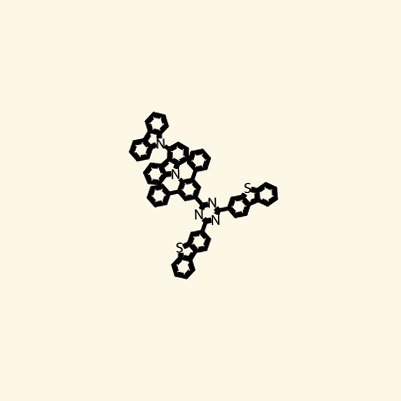 c1ccc(-c2cc(-c3nc(-c4ccc5c(c4)sc4ccccc45)nc(-c4ccc5c(c4)sc4ccccc45)n3)cc(-c3ccccc3)c2-n2c3ccccc3c3c(-n4c5ccccc5c5ccccc54)cccc32)cc1